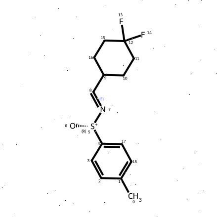 Cc1ccc([S@+]([O-])/N=C/C2CCC(F)(F)CC2)cc1